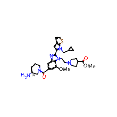 COC(=O)C1CCN(CCn2c(-c3cc4ccsc4n3CC3CC3)nc3cc(C(=O)N4CCC[C@@H](N)C4)cc(OC)c32)CC1